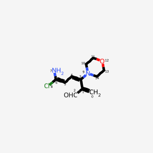 C=C(C=O)/C(=C\C=C(/N)Cl)N1CCOCC1